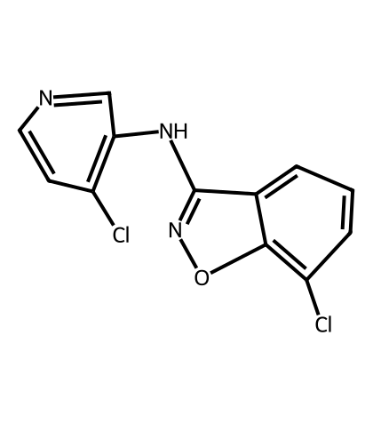 Clc1ccncc1Nc1noc2c(Cl)cccc12